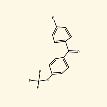 O=C(c1ccc(F)cc1)c1ccc(SC(F)(F)F)cc1